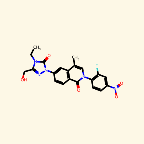 CCn1c(CO)nn(-c2ccc3c(=O)n(-c4ccc([N+](=O)[O-])cc4F)cc(C)c3c2)c1=O